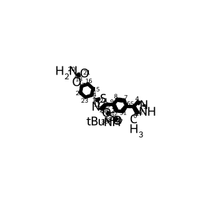 Cc1[nH]ncc1-c1ccc(-c2cnc([C@H]3CC[C@H](OC(N)=O)CC3)s2)c(S(=O)(=O)NC(C)(C)C)c1